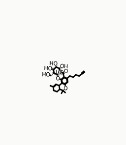 C#CCCCCc1cc2c(c(O[C@H]3O[C@H](O)[C@@H](O)[C@H](O)[C@H]3CO)c1C(=O)O)C1C=C(C)CCC1C(C)(C)O2